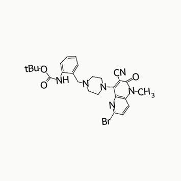 Cn1c(=O)c(C#N)c(N2CCN(Cc3ccccc3NC(=O)OC(C)(C)C)CC2)c2nc(Br)ccc21